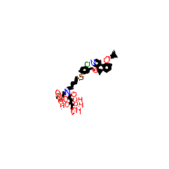 CS(=O)(=O)CCN(CCCCCSc1ccc(Cl)c(COC2(c3cnccc3-c3ccccc3OC3CC3)CC2)c1)C(=O)[C@@H](O)[C@@H](O)[C@H](O)[C@@H](O)CO